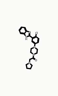 O=C(CN1CCCC1)N1CCN(c2ccc(Cl)c(-c3nc4ccccc4[nH]3)c2)CC1